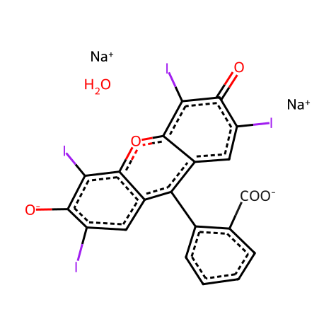 O.O=C([O-])c1ccccc1-c1c2cc(I)c(=O)c(I)c-2oc2c(I)c([O-])c(I)cc12.[Na+].[Na+]